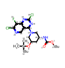 CC(C)(C)OC(=O)N[C@@H]1CC(O[Si](C)(C)C(C)(C)C)CN(c2nc(Cl)nc3c(F)c(Cl)ncc23)C1